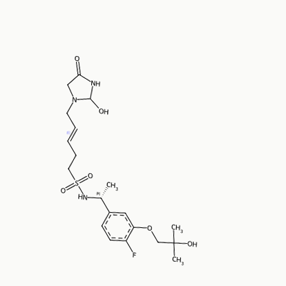 C[C@@H](NS(=O)(=O)CC/C=C/CN1CC(=O)NC1O)c1ccc(F)c(OCC(C)(C)O)c1